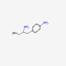 CC(C)(C)CC(N)Cc1ccc(N)cc1